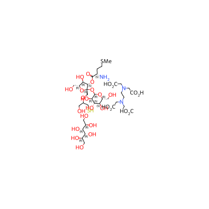 CSCC[C@H](N)C(=O)O[C@H]1[C@H](O)[C@@H](CO)O[C@@]1(COC(CO)CS)O[C@H]1O[C@H](CO)[C@@H](O)[C@H](O)[C@H]1O.O=C(O)CN(CCN(CC(=O)O)CC(=O)O)CC(=O)O.OC[C@@H](O)[C@@H](O)[C@H](O)[C@H](O)CO